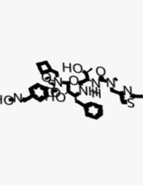 Cc1nc(CN(C)C(=O)N[C@H](C(=O)N[C@@H](Cc2ccccc2)[C@H](O)CN(CC2CCC2)S(=O)(=O)c2ccc(/C=N/O)cc2)[C@H](C)O)cs1